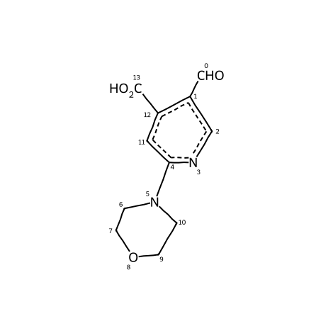 O=Cc1cnc(N2CCOCC2)cc1C(=O)O